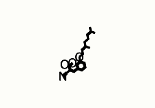 CC(C)=CCC/C(C)=C/COc1cccc2cc(C#N)c(=O)oc12